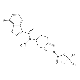 CCC(C)(C)OC(=O)n1cc2c(n1)CCC(N(C(=O)c1csc3c(F)cccc13)C1CC1)C2